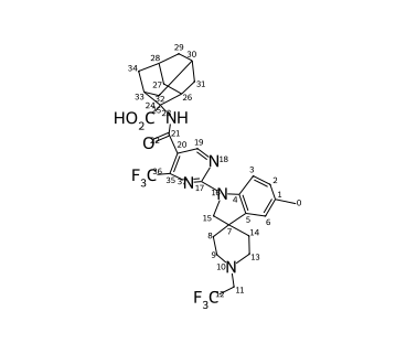 Cc1ccc2c(c1)C1(CCN(CC(F)(F)F)CC1)CN2c1ncc(C(=O)NC2(C(=O)O)C3CC4CC(C3)CC2C4)c(C(F)(F)F)n1